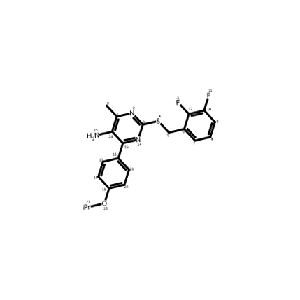 Cc1nc(SCc2cccc(F)c2F)nc(-c2ccc(OC(C)C)cc2)c1N